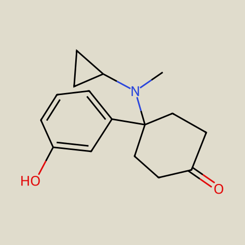 CN(C1CC1)C1(c2cccc(O)c2)CCC(=O)CC1